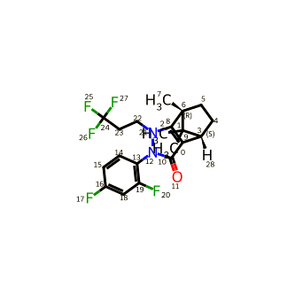 CC1(C)[C@@H]2CC[C@@]1(C)c1c2c(=O)n(-c2ccc(F)cc2F)n1CCC(F)(F)F